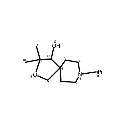 CC(C)N1CCC2(CC1)COC(C)(C)C2O